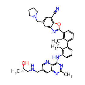 Cc1nc(Nc2cccc(-c3cccc(-c4nc5cc(CN6CCCC6)cc(C#N)c5o4)c3C)c2C)c2ncc(CNC[C@H](C)O)cc2n1